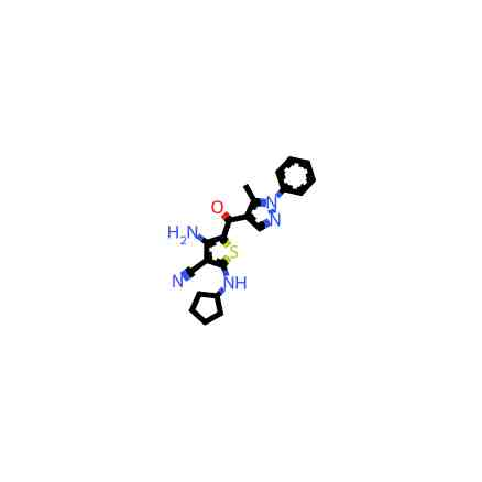 Cc1c(C(=O)c2sc(NC3CCCC3)c(C#N)c2N)cnn1-c1ccccc1